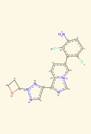 Nc1ccc(F)c(-c2ccc3c(-c4cnn(C5CCO5)n4)ncn3c2)c1F